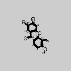 COc1cccc(Oc2cc(Cl)c(F)cc2C=O)c1C